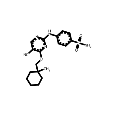 CC1(COc2nc(Nc3ccc(S(N)(=O)=O)cc3)ncc2C#N)CCCCC1